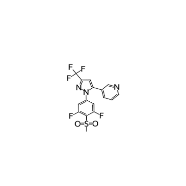 CS(=O)(=O)c1c(F)cc(-n2nc(C(F)(F)F)cc2-c2cccnc2)cc1F